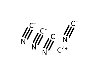 [C+4].[C-]#N.[C-]#N.[C-]#N.[C-]#N